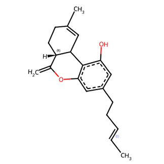 C=C1Oc2cc(CC/C=C/C)cc(O)c2C2C=C(C)CC[C@@H]12